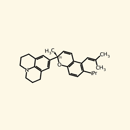 CC(C)=Cc1c(C(C)C)ccc2c1C=C[C@@](C)(c1cc3c4c(c1)CCCN4CCC3)O2